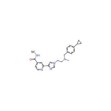 CN(CCn1cnc(-c2cc(C(=O)NC#N)ccn2)c1)Cc1ccc(C2CC2)cc1